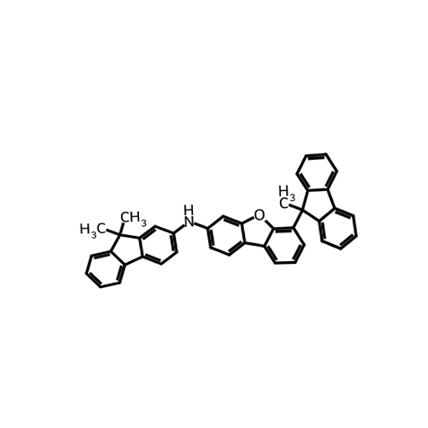 CC1(C)c2ccccc2-c2ccc(Nc3ccc4c(c3)oc3c(C5(C)c6ccccc6-c6ccccc65)cccc34)cc21